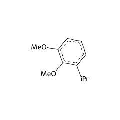 COc1cccc(C(C)C)c1OC